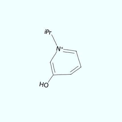 CC(C)[n+]1cccc(O)c1